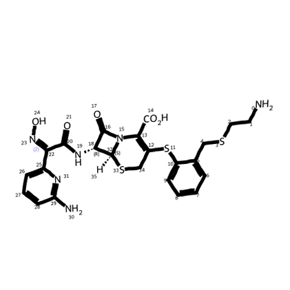 NCCSCc1ccccc1SC1=C(C(=O)O)N2C(=O)[C@@H](NC(=O)/C(=N\O)c3cccc(N)n3)[C@@H]2SC1